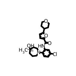 C[C@@]1(O)CCCN(c2ccc(Cl)cc2NC(=O)c2ccc(C3CCOCC3)o2)CC1